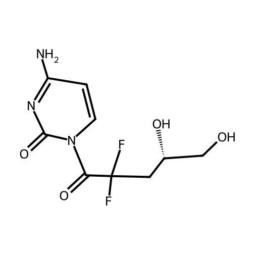 Nc1ccn(C(=O)C(F)(F)C[C@H](O)CO)c(=O)n1